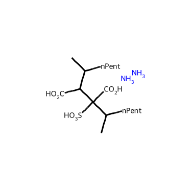 CCCCCC(C)C(C(=O)O)C(C(=O)O)(C(C)CCCCC)S(=O)(=O)O.N.N